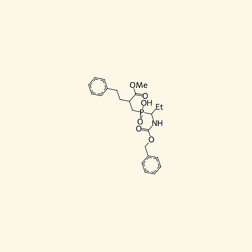 CCC(NC(=O)OCc1ccccc1)P(=O)(O)CC(CCc1ccccc1)C(=O)OC